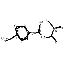 CC(OC(=O)c1ccc(N)cc1)N(C)C